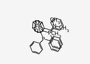 C[C@H](N(C)C)[C@]12[CH]3[CH]4[CH]5[C]1(P(c1ccccc1)c1ccccc1)[Fe]45321678[CH]2[CH]1[CH]6[C]7(P(c1ccccc1)c1ccccc1)[CH]28